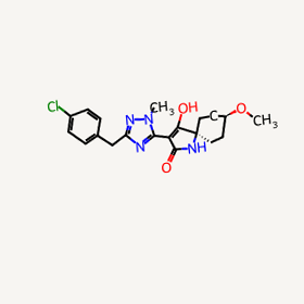 CO[C@H]1CC[C@]2(CC1)NC(=O)C(c1nc(Cc3ccc(Cl)cc3)nn1C)=C2O